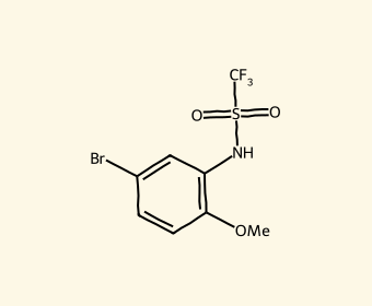 COc1ccc(Br)cc1NS(=O)(=O)C(F)(F)F